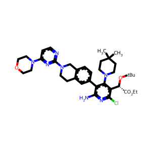 CCOC(=O)[C@@H](OC(C)(C)C)c1c(Cl)nc(N)c(-c2ccc3c(c2)CCN(c2nccc(N4CCOCC4)n2)C3)c1N1CCC(C)(C)CC1